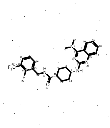 CN(C)c1nc(N[C@H]2CC[C@@H](C(=O)NCc3cccc(C(F)(F)F)c3F)CC2)nc2ccccc12